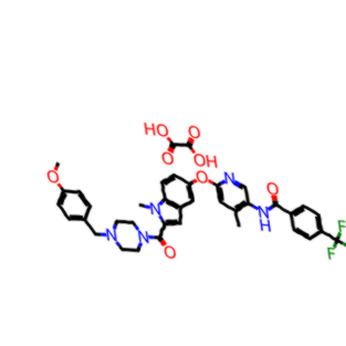 COc1ccc(CN2CCN(C(=O)c3cc4cc(Oc5cc(C)c(NC(=O)c6ccc(C(F)(F)F)cc6)cn5)ccc4n3C)CC2)cc1.O=C(O)C(=O)O